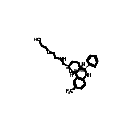 OCCOCCNC[C@H]1CC[C@@H]2[C@H](O1)c1cc(C(F)(F)F)ccc1N[C@H]2c1ccccc1